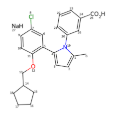 Cc1ccc(-c2cc(Cl)ccc2OCC2CCCC2)n1-c1cccc(C(=O)O)c1.[NaH]